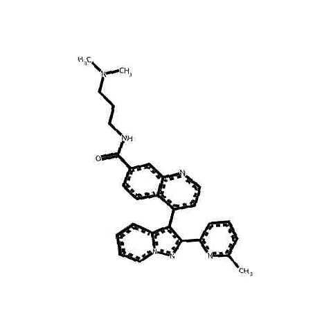 Cc1cccc(-c2nn3ccccc3c2-c2ccnc3cc(C(=O)NCCCN(C)C)ccc23)n1